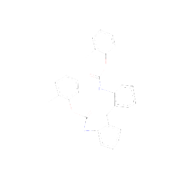 CCc1ccccc1OC(=O)Nc1ccccc1Cc1ccccc1NC(=O)Oc1ccccc1CC